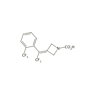 O=C(O)N1CC(=C(c2ccccc2C(F)(F)F)C(F)(F)F)C1